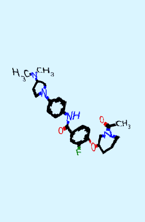 CC(=O)N1CCCC(Oc2ccc(C(=O)Nc3ccc(N4CCC(N(C)C)C4)cc3)cc2F)C1